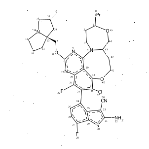 CC(C)C1CCN2c3nc(OC[C@@]45CCCN4C[C@H](C)C5)nc4c(F)c(-c5ccc(F)c6sc(N)c(C#N)c56)c(Cl)c(c34)OCCC2CO1